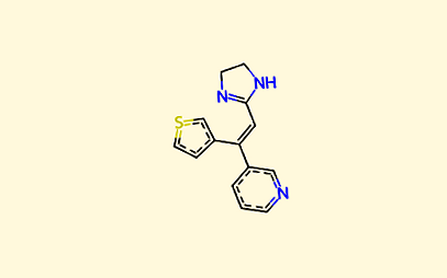 C(=C(c1cccnc1)c1ccsc1)C1=NCCN1